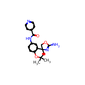 CC1(C)Oc2ccc(NC(=O)c3ccncc3)cc2C2(COC(N)=N2)C12COC2